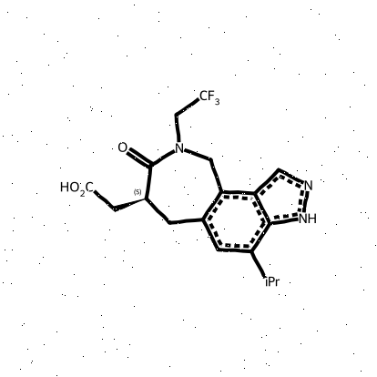 CC(C)c1cc2c(c3cn[nH]c13)CN(CC(F)(F)F)C(=O)[C@H](CC(=O)O)C2